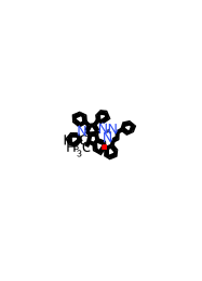 CC1(C)c2ccccc2-c2c1c1c(c3ccccc3n1-c1ccccc1)c1c3ccccc3n(-c3nc(-c4ccccc4)cc(-c4ccccc4)n3)c21